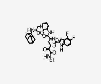 CCNC(=O)C(=O)CC[C@H](NC(=O)c1cc2c(F)c(F)ccc2[nH]1)C(=O)Nc1cccn(CC(=O)NC2C3CC4CC(C3)CC2C4)c1=O